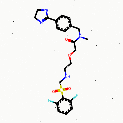 CN(Cc1ccc(C2=NCCN2)cc1)C(=O)COCCNCS(=O)(=O)c1c(F)cccc1F